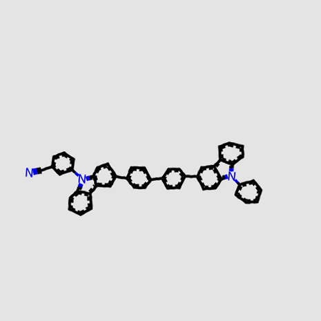 N#Cc1cccc(-n2c3ccccc3c3cc(-c4ccc(-c5ccc(-c6ccc7c(c6)c6ccccc6n7-c6ccccc6)cc5)cc4)ccc32)c1